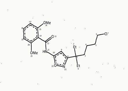 CCC(CC)(CCCCCl)c1cc(NC(=O)c2c(OC)cccc2OC)on1